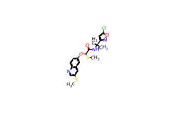 CSc1cnc2ccc(OC(SC)C(=O)NC(C)(C)c3cc(Cl)on3)cc2c1